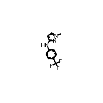 Cn1ccc(Nc2ccc(C(F)(F)F)cc2)n1